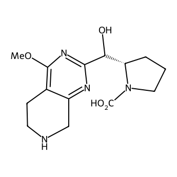 COc1nc(C(O)[C@@H]2CCCN2C(=O)O)nc2c1CCNC2